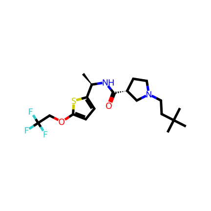 C[C@@H](NC(=O)[C@@H]1CCN(CCC(C)(C)C)C1)c1ccc(OCC(F)(F)F)s1